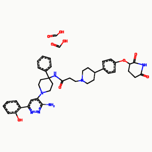 Nc1nnc(-c2ccccc2O)cc1N1CCC(NC(=O)CCN2CCC(c3ccc(OC4CCC(=O)NC4=O)cc3)CC2)(c2ccccc2)CC1.O=CO.O=CO